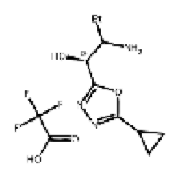 CCC(N)[C@H](O)c1nnc(C2CC2)o1.O=C(O)C(F)(F)F